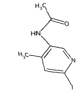 CC(=O)Nc1cnc(I)cc1C